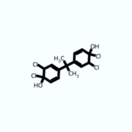 CC(C)(C1=CC(Cl)C(O)(Cl)C=C1)C1=CC(Cl)C(O)(Cl)C=C1